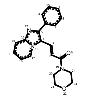 O=C(/C=C/c1c(-c2ccccc2)nc2ccccn12)N1CCOCC1